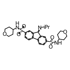 CC(C)N=C1c2cc(S(=O)(=O)NC3CCOCC3)ccc2-c2ccc(S(=O)(=O)NC3CCOCC3)cc21